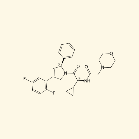 O=C(CN1CCOCC1)N[C@H](C(=O)N1CC(c2cc(F)ccc2F)=C[C@H]1c1ccccc1)C1CC1